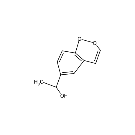 CC(O)c1ccc2c(c1)C=COO2